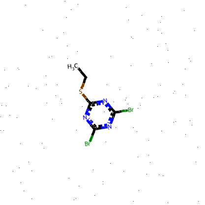 CCSc1nc(Br)nc(Br)n1